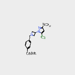 COc1ccc(CN2CC(n3nc([N+](=O)[O-])cc3Cl)C2)cc1